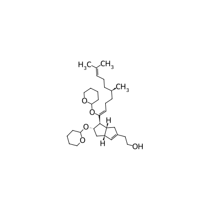 CC(C)=CCC[C@@H](C)CCC=C(OC1CCCCO1)[C@H]1[C@@H]2CC(CCO)=C[C@@H]2C[C@@H]1OC1CCCCO1